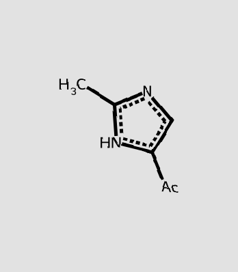 CC(=O)c1cnc(C)[nH]1